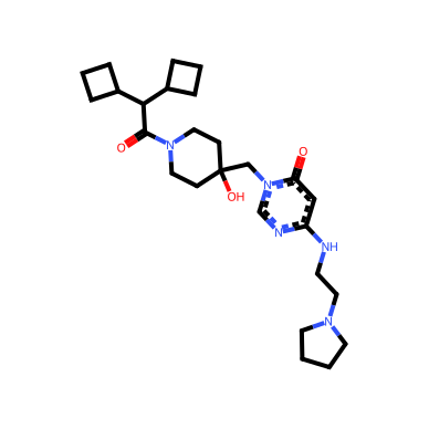 O=C(C(C1CCC1)C1CCC1)N1CCC(O)(Cn2cnc(NCCN3CCCC3)cc2=O)CC1